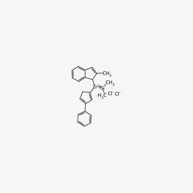 CC1=Cc2ccccc2[CH]1[Zr+2]([C]1=CC(c2ccccc2)=CC1)=[Si](C)C.[Cl-].[Cl-]